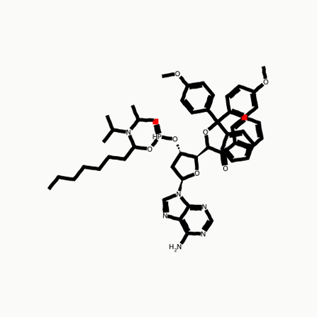 CCCCCCCC(O[PH](=O)O[C@H]1C[C@H](n2cnc3c(N)ncnc32)O[C@@H]1C(OC(c1ccccc1)(c1ccc(OC)cc1)c1ccc(OC)cc1)C(=O)c1ccccc1)N(C(C)C)C(C)C